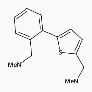 CNCc1ccc(-c2ccccc2CNC)s1